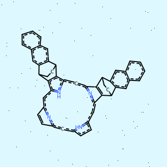 C1=Cc2cc3[nH]c(cc4nc(cc5ccc(cc1n2)[nH]5)C1=C4C2CCC1c1cc4ccccc4cc12)c1c3C2CCC1c1cc3ccccc3cc12